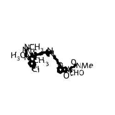 CNC(=O)CCC(C=O)N1Cc2c(OCCCCn3cc(C#Cc4sc5c(c4C)C(c4ccc(Cl)cc4)=N[C@@H](C)c4nnc(C)n4-5)cn3)cccc2C1=O